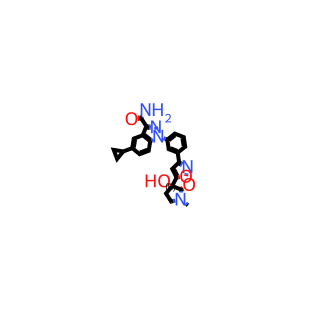 CN1CC[C@@](O)(c2cc(-c3cccc(-n4nc(C(N)=O)c5cc(C6CC6)ccc54)c3)no2)C1=O